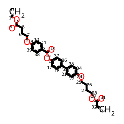 C=COC(=O)CCCOc1ccc(C(=O)Oc2ccc(-c3ccc(OCCCCOC(=O)C=C)cc3)cc2)cc1